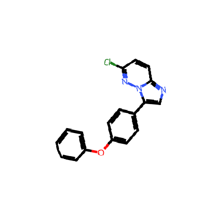 Clc1ccc2ncc(-c3ccc(Oc4ccccc4)cc3)n2n1